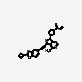 C=CC(=O)N1CC[C@H](n2nc(C#Cc3ccc4oc(C5CCC5)nc4c3)c3c(N)ncnc32)C1